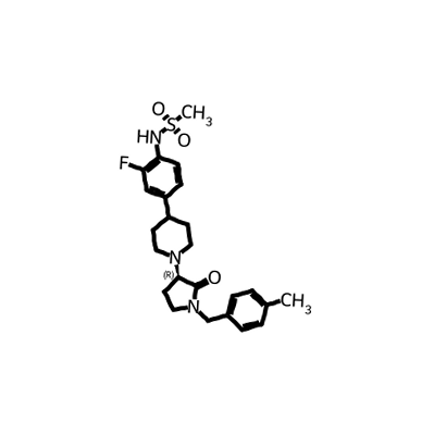 Cc1ccc(CN2CC[C@@H](N3CCC(c4ccc(NS(C)(=O)=O)c(F)c4)CC3)C2=O)cc1